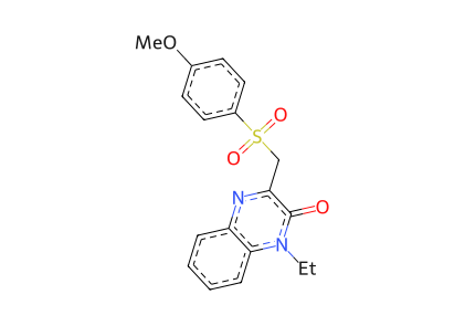 CCn1c(=O)c(CS(=O)(=O)c2ccc(OC)cc2)nc2ccccc21